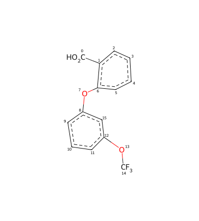 O=C(O)c1ccccc1Oc1cccc(OC(F)(F)F)c1